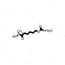 CCCCCCCC(=O)OCCCCCC(=O)N(C)CCC